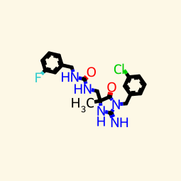 CC1(CNC(=O)NCc2cccc(F)c2)NC(=N)N(Cc2cccc(Cl)c2)C1=O